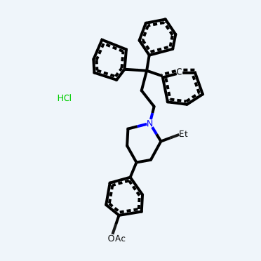 CCC1CC(c2ccc(OC(C)=O)cc2)CCN1CCC(c1ccccc1)(c1ccccc1)c1ccccc1.Cl